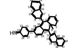 CC12CC=CC=C1C(c1ccc3ccccc3c1)=c1cc(C3=CCC(=N)C=C3)ccc1=C2c1ccc2ccccc2c1